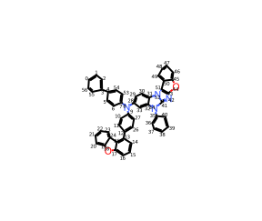 c1ccc(-c2ccc(N(c3ccc(-c4cccc5oc6ccccc6c45)cc3)c3ccc4c(c3)n(-c3ccccc3)c3nc5oc6ccccc6c5n43)cc2)cc1